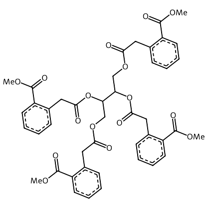 COC(=O)c1ccccc1CC(=O)OCC(OC(=O)Cc1ccccc1C(=O)OC)C(COC(=O)Cc1ccccc1C(=O)OC)OC(=O)Cc1ccccc1C(=O)OC